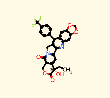 CC[C@@]1(O)C(=O)OCc2c1cc1n(c2=O)Cc2c-1nc1cc3c(cc1c2-c1ccc(C(F)(F)F)cc1)OCO3